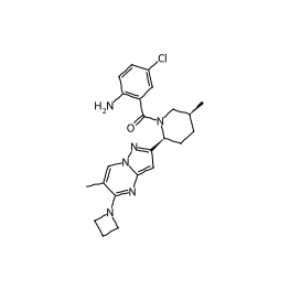 Cc1cn2nc([C@@H]3CC[C@H](C)CN3C(=O)c3cc(Cl)ccc3N)cc2nc1N1CCC1